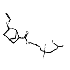 C=COC1CC2CC(C(=O)OCCC(F)(F)CC(F)F)C1C2